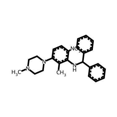 Cc1c(N2CCN(C)CC2)ccc([N+](=O)[O-])c1NC(c1ccccc1)c1ccccc1